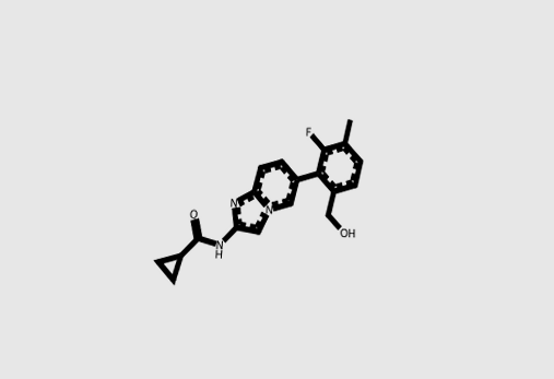 Cc1ccc(CO)c(-c2ccc3nc(NC(=O)C4CC4)cn3c2)c1F